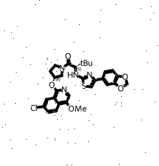 COc1cnc(O[C@@H]2CCN(C(=O)[C@@H](Nc3nc(-c4ccc5c(c4)OCO5)cs3)C(C)(C)C)C2)c2cc(Cl)ccc12